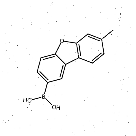 Cc1ccc2c(c1)oc1ccc(B(O)O)cc12